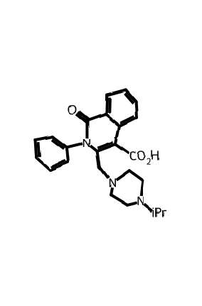 CC(C)N1CCN(Cc2c(C(=O)O)c3ccccc3c(=O)n2-c2ccccc2)CC1